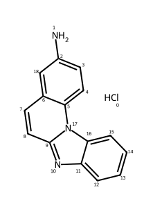 Cl.Nc1ccc2c(ccc3nc4ccccc4n32)c1